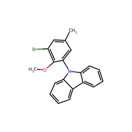 COc1c(Br)cc(C)cc1-n1c2ccccc2c2ccccc21